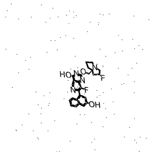 Oc1cc(-c2ncc3c(O)nc(OC[C@@]45CCCN4C[C@H](F)C5)nc3c2F)c2ccccc2c1